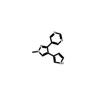 Cn1cc(-c2cc[nH]c2)c(-c2cncnc2)n1